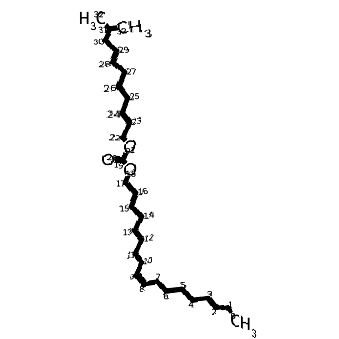 CCCCCCCC/C=C\CCCCCCCCOC(=O)OCCCCCCCCCC(C)C